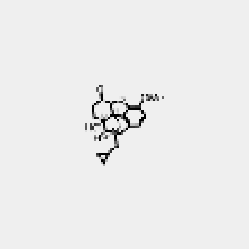 COc1ccc2c3c1OC1C(=O)CC[C@@]4(O)[C@@H](C2)N(CC2CC2)CC[C@]314